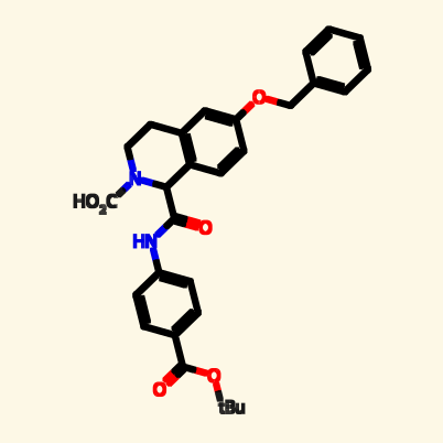 CC(C)(C)OC(=O)c1ccc(NC(=O)C2c3ccc(OCc4ccccc4)cc3CCN2C(=O)O)cc1